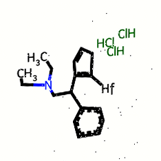 CCN(CC)CC(C1=[C]([Hf])CC=C1)c1ccccc1.Cl.Cl.Cl